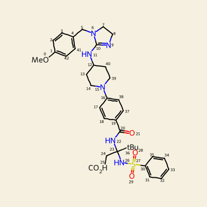 COc1ccc(CN2CCN=C2NC2CCN(c3ccc(C(=O)NC(CC(=O)O)(NS(=O)(=O)c4ccccc4)C(C)(C)C)cc3)CC2)cc1